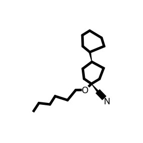 CCCCCCO[C@]1(C#N)CC[C@@H](C2CCCCC2)CC1